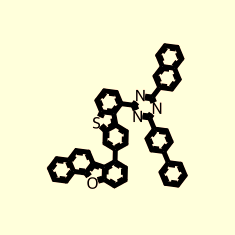 c1ccc(-c2ccc(-c3nc(-c4ccc5ccccc5c4)nc(-c4cccc5sc6cc(-c7cccc8oc9c%10ccccc%10ccc9c78)ccc6c45)n3)cc2)cc1